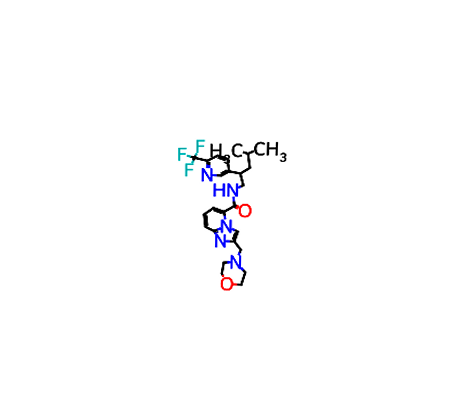 CC(C)CC(CNC(=O)c1cccc2nc(CN3CCOCC3)cn12)c1ccc(C(F)(F)F)nc1